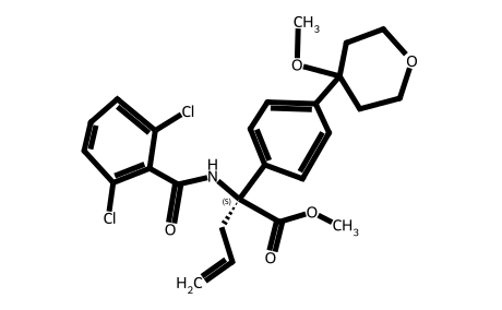 C=CC[C@@](NC(=O)c1c(Cl)cccc1Cl)(C(=O)OC)c1ccc(C2(OC)CCOCC2)cc1